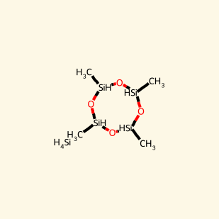 C[SiH]1O[SiH](C)O[SiH](C)O[SiH](C)O1.[SiH4]